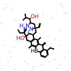 C=CC(N)(CC1CC(O)(C(=C)CC)Cc2c(C)c3c(c(C)c21)C(=C)c1c(cccc1CC)B3)CC(N)C(O)C(C)C